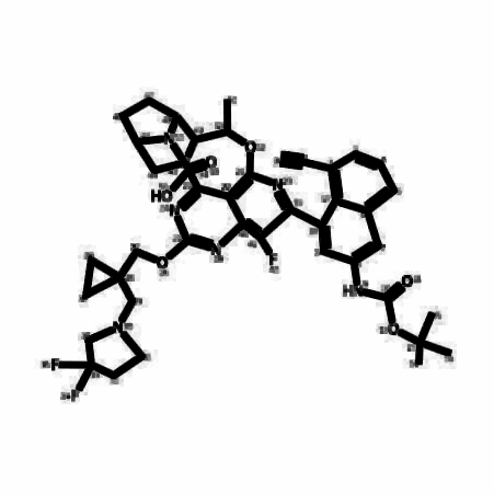 C#Cc1cccc2cc(NC(=O)OC(C)(C)C)cc(-c3nc4c5c(nc(OCC6(CN7CCC(F)(F)C7)CC6)nc5c3F)N3CC5CCC(C3C(C)O4)N5C(=O)O)c12